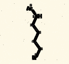 CC(=O)NCCCCBr